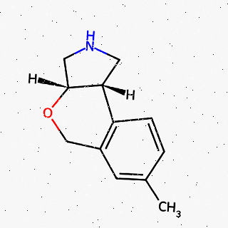 Cc1ccc2c(c1)CO[C@@H]1CNC[C@H]21